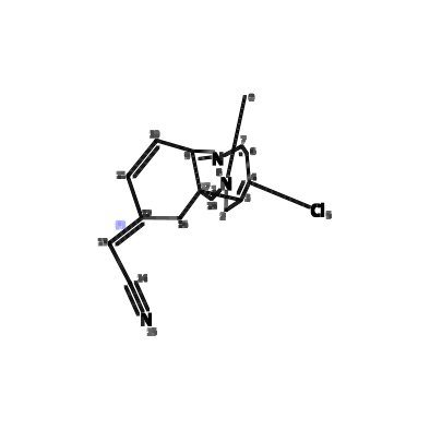 CN1CC2=C(Cl)C=CN=C3C=C/C(=C/C#N)CC32C1